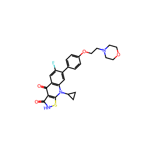 O=c1[nH]sc2c1c(=O)c1cc(F)c(-c3ccc(OCCN4CCOCC4)cc3)cc1n2C1CC1